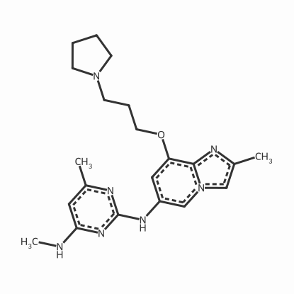 CNc1cc(C)nc(Nc2cc(OCCCN3CCCC3)c3nc(C)cn3c2)n1